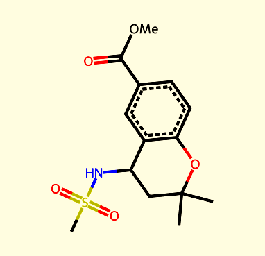 COC(=O)c1ccc2c(c1)C(NS(C)(=O)=O)CC(C)(C)O2